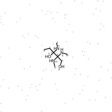 CCC(O)(NC)C(CO)(NC)NC